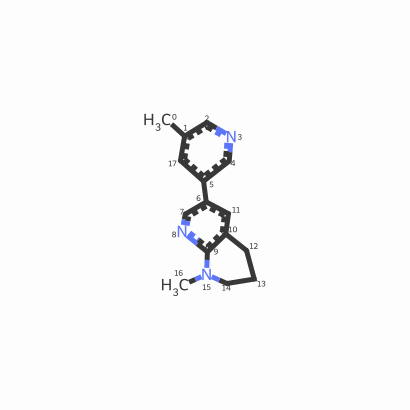 Cc1cncc(-c2cnc3c(c2)CCCN3C)c1